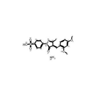 COc1ccc(C=C2C(=O)N(c3ccc(S(=O)(=O)O)cc3)N=C2C)c(OC)c1.N